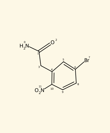 NC(=O)Cc1cc(Br)ccc1[N+](=O)[O-]